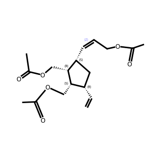 C=C[C@H]1C[C@@H](/C=C\COC(C)=O)[C@@H](COC(C)=O)[C@H]1COC(C)=O